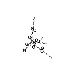 CCCCCCCCOC(=O)CCCCC(=O)OCC(COC(=O)CCCCC(=O)OCCCCCCCC)(COC(=O)CCCN(C)C)COC(=O)CC(CCCCC)CCCCC